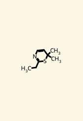 CCC1=NC=CC(C)(C)S1